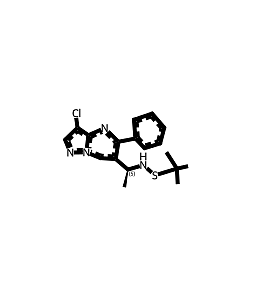 C[C@H](NSC(C)(C)C)c1cn2ncc(Cl)c2nc1-c1ccccc1